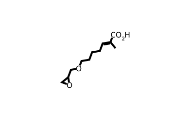 CC(=CCCCCOCC1CO1)C(=O)O